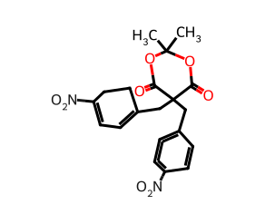 CC1(C)OC(=O)C(CC2=C=C=C([N+](=O)[O-])C=C2)(CC2=CC=C([N+](=O)[O-])CC2)C(=O)O1